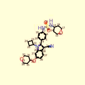 N#Cc1c(-c2ccc(NS(=O)(=O)NC3CCOCC3)cc2)n(C2CCC2)c2cc(OC3CCOCC3)ccc12